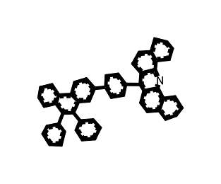 c1ccc(-c2c(-c3ccccc3)c3cc(-c4ccc(-c5c6ccc7ccccc7c6nc6c5ccc5ccccc56)cc4)ccc3c3ccccc23)cc1